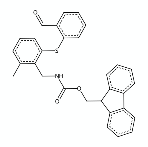 Cc1cccc(Sc2ccccc2C=O)c1CNC(=O)OCC1c2ccccc2-c2ccccc21